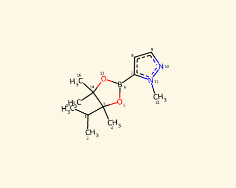 CC(C)C1(C)OB(c2ccnn2C)OC1(C)C